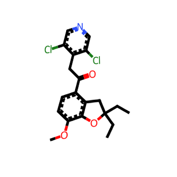 CCC1(CC)Cc2c(C(=O)Cc3c(Cl)cncc3Cl)ccc(OC)c2O1